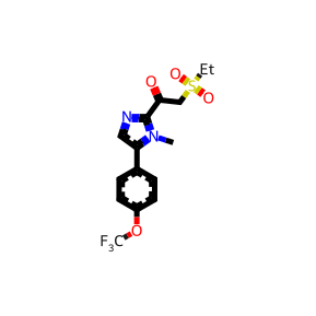 CCS(=O)(=O)CC(=O)c1ncc(-c2ccc(OC(F)(F)F)cc2)n1C